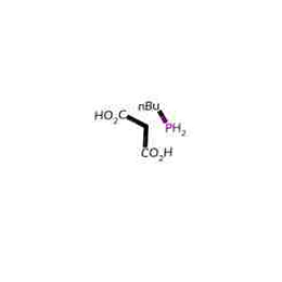 CCCCP.O=C(O)CC(=O)O